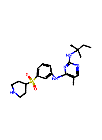 CCC(C)(C)Nc1ncc(C)c(Nc2cccc(S(=O)(=O)C3CCNCC3)c2)n1